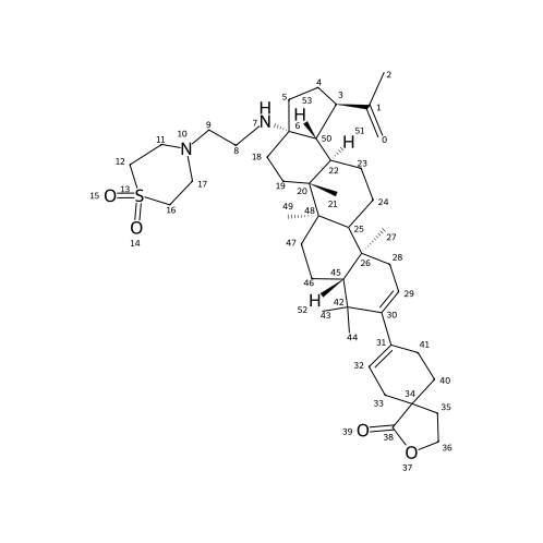 C=C(C)[C@@H]1CC[C@]2(NCCN3CCS(=O)(=O)CC3)CC[C@]3(C)[C@H](CCC4[C@@]5(C)CC=C(C6=CCC7(CCOC7=O)CC6)C(C)(C)[C@@H]5CC[C@]43C)[C@@H]12